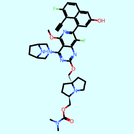 C#Cc1c(F)ccc2cc(O)cc(-c3nc(OC)c4c(N5CC6CCC(C5)N6)nc(OC[C@]56CCCN5[C@@H](COC(=O)N(C)C)CC6)nc4c3F)c12